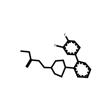 C=C(CC)CCC1CCC(c2ccccc2-c2ccc(F)c(F)c2)CC1